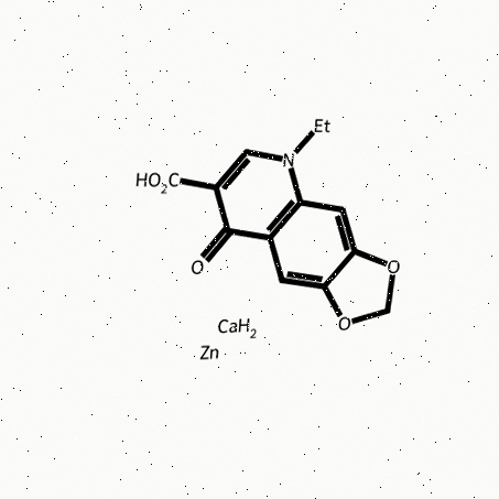 CCn1cc(C(=O)O)c(=O)c2cc3c(cc21)OCO3.[CaH2].[Zn]